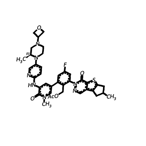 CC(=O)OCc1c(-c2cc(Nc3ccc(N4CCN(C5COC5)C[C@@H]4C)cn3)c(=O)n(C)c2)cc(F)cc1-n1ncc2c3c(sc2c1=O)CC(C)C3